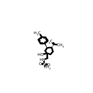 C=C(C)[C@@H]1CCC(O)(CNS(C)(=O)=O)C[C@H]1c1ccc(C)cc1